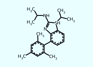 Cc1cc(C)c(-c2cccc3c2N=C(NC(C)C)[SH]3C(C)C)c(C)c1